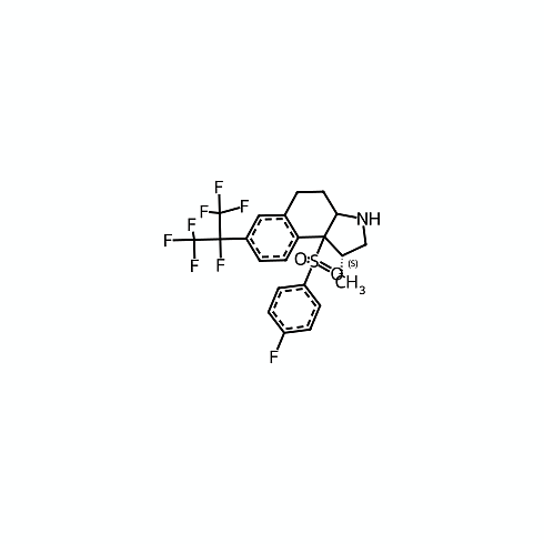 C[C@H]1CNC2CCc3cc(C(F)(C(F)(F)F)C(F)(F)F)ccc3C21S(=O)(=O)c1ccc(F)cc1